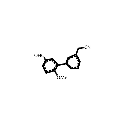 COc1ccc(C=O)cc1-c1cccc(CC#N)c1